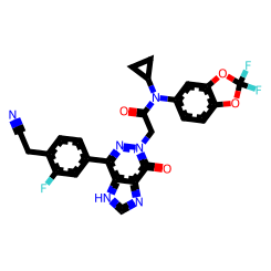 N#CCc1ccc(-c2nn(CC(=O)N(c3ccc4c(c3)OC(F)(F)O4)C3CC3)c(=O)c3nc[nH]c23)cc1F